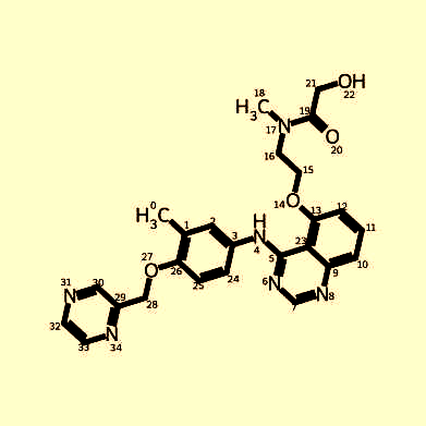 Cc1cc(Nc2ncnc3cccc(OCCN(C)C(=O)CO)c23)ccc1OCc1cnccn1